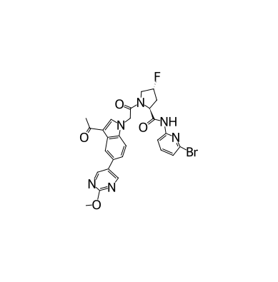 COc1ncc(-c2ccc3c(c2)c(C(C)=O)cn3CC(=O)N2C[C@H](F)C[C@H]2C(=O)Nc2cccc(Br)n2)cn1